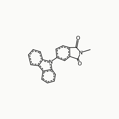 CN1C(=O)c2ccc(-n3c4ccccc4c4ccccc43)cc2C1=O